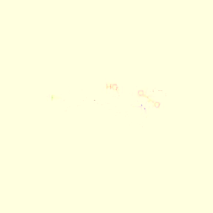 CS(=O)(=O)N1CCCc2cc(C#Cc3ccc(F)cc3)c(O)cc21